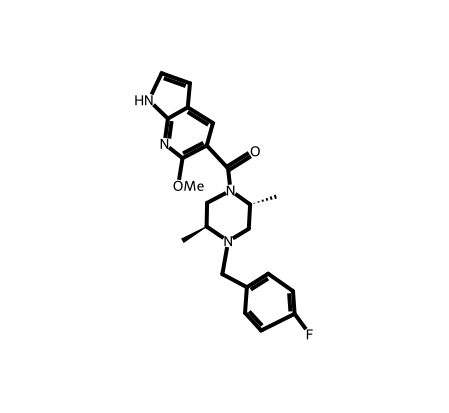 COc1nc2[nH]ccc2cc1C(=O)N1C[C@H](C)N(Cc2ccc(F)cc2)C[C@H]1C